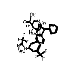 O=C(O)[C@H]1CN2CC[C@@H]1[C@H](NCc1cc(-n3nnnc3C(F)(F)F)cc(C(F)(F)F)c1)[C@@H]2C(c1ccccc1)c1ccccc1